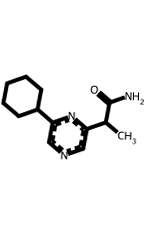 CC(C(N)=O)c1cncc(C2CCCCC2)n1